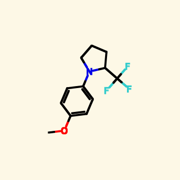 COc1ccc(N2CCCC2C(F)(F)F)cc1